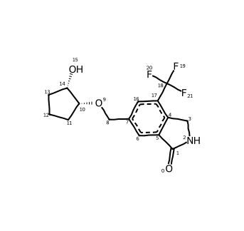 O=C1NCc2c1cc(CO[C@@H]1CCC[C@@H]1O)cc2C(F)(F)F